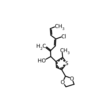 C=C(/C=C(Cl)\C=C/C)C(O)c1cc(C2OCCO2)sc1C